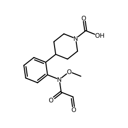 CON(C(=O)C=O)c1ccccc1C1CCN(C(=O)O)CC1